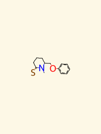 CN1C(=S)CCCC1COc1ccccc1